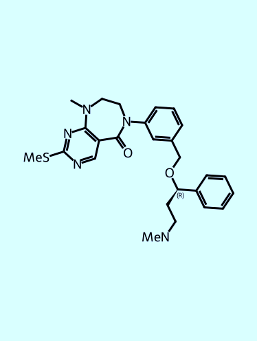 CNCC[C@@H](OCc1cccc(N2CCN(C)c3nc(SC)ncc3C2=O)c1)c1ccccc1